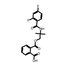 CC(C)(COC(=O)c1ccccc1C(=O)O)NC(=O)c1ccc(F)cc1F